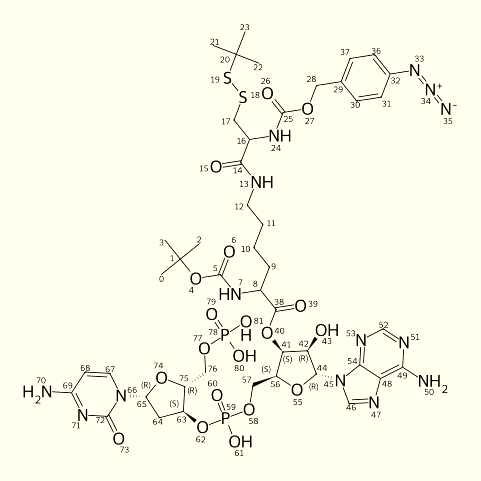 CC(C)(C)OC(=O)NC(CCCCNC(=O)C(CSSC(C)(C)C)NC(=O)OCc1ccc(N=[N+]=[N-])cc1)C(=O)O[C@H]1[C@@H](O)[C@H](n2cnc3c(N)ncnc32)O[C@H]1COP(=O)(O)O[C@H]1C[C@H](n2ccc(N)nc2=O)O[C@@H]1COP(=O)(O)O